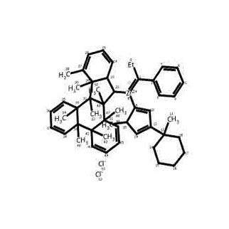 CC/[C](c1ccccc1)=[Zr+2](/[C]1=CC(C2(C)CCCCC2)=CC1C)[CH]1C2C=CC=C(C)C2(C)C2(C)C3(C)C=CC=CC3(C)C3(C)C=CC=CC3(C)C12C.[Cl-].[Cl-]